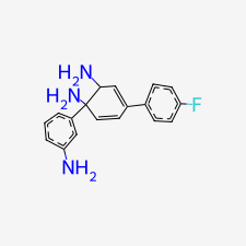 Nc1cccc(C2(N)C=CC(c3ccc(F)cc3)=CC2N)c1